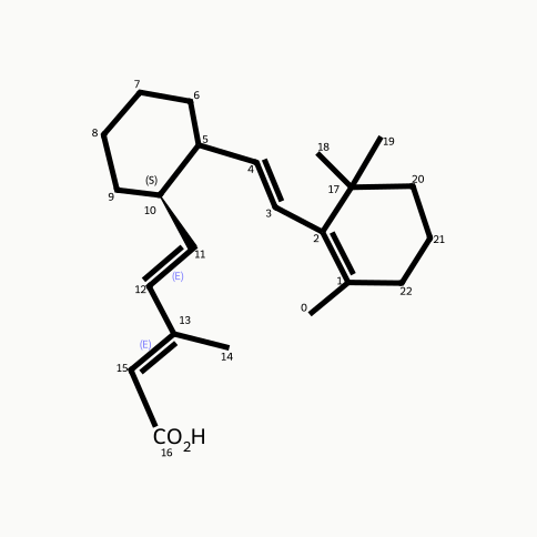 CC1=C(C=CC2CCCC[C@@H]2/C=C/C(C)=C/C(=O)O)C(C)(C)CCC1